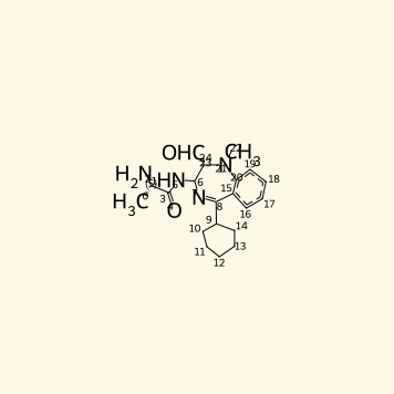 C[C@H](N)C(=O)NC1N=C(C2CCCCC2)c2ccccc2N(C)C1C=O